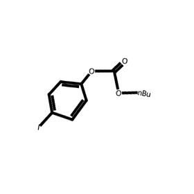 CCCCOC(=O)Oc1ccc(I)cc1